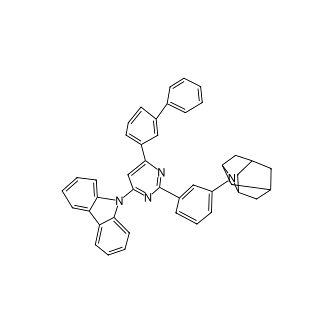 c1ccc(-c2cccc(-c3cc(-n4c5ccccc5c5ccccc54)nc(-c4cccc(N5C6CC7CC(C6)CC5C7)c4)n3)c2)cc1